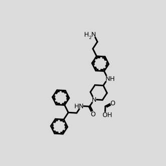 NCCc1ccc(NC2CCN(C(=O)NCC(c3ccccc3)c3ccccc3)CC2)cc1.O=CO